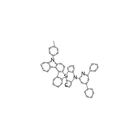 Cc1ccc(-n2c3ccccc3c3c4c(ccc32)[Si]2(c3ccccc3-4)c3ccccc3N(c3cc(-c4ccccc4)cc(-c4ccccc4)n3)c3ccccc32)cc1